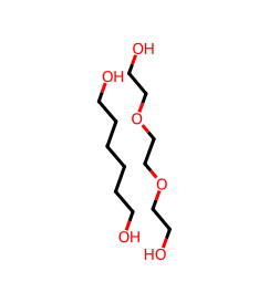 OCCCCCCO.OCCOCCOCCO